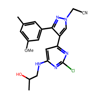 COc1cc(C)cc(-c2nn(CC#N)cc2-c2cc(NCC(C)O)nc(Cl)n2)c1